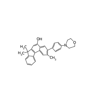 Cc1cc2c3c(cc(O)c2cc1-c1ccc(N2CCOCC2)cc1)C(C)(C)c1ccccc1-3